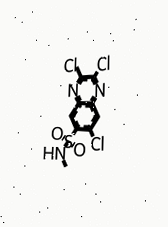 CNS(=O)(=O)c1cc2nc(Cl)c(Cl)nc2cc1Cl